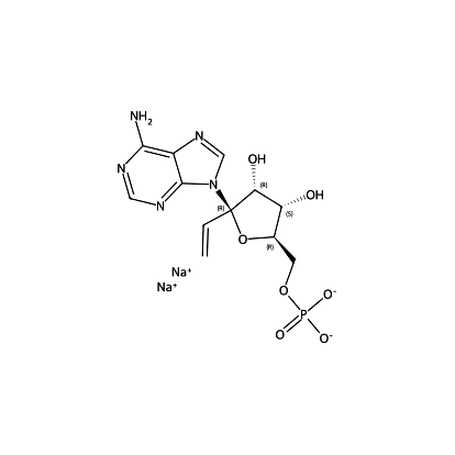 C=C[C@@]1(n2cnc3c(N)ncnc32)O[C@H](COP(=O)([O-])[O-])[C@@H](O)[C@H]1O.[Na+].[Na+]